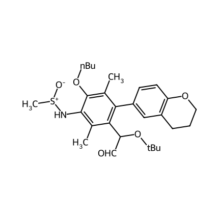 CCCCOc1c(C)c(-c2ccc3c(c2)CCCO3)c(C(C=O)OC(C)(C)C)c(C)c1N[S+](C)[O-]